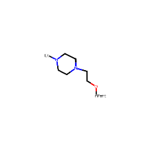 CCCCCOCCN1CCN(CC)CC1